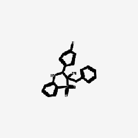 N#CC1(Cc2ccccc2)C(c2ccc(Cl)cc2)Nc2ccccc2S1(=O)=O